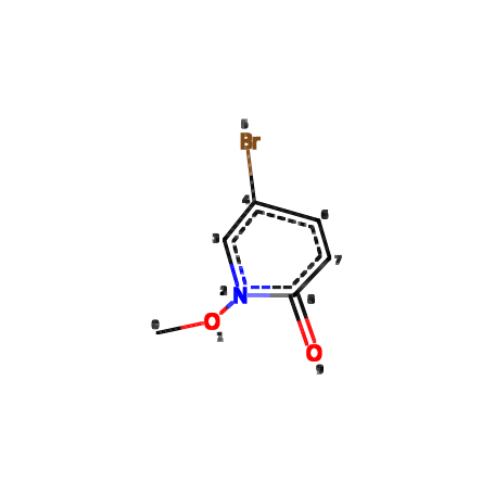 COn1cc(Br)ccc1=O